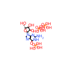 Nc1nc2c(ncn2[C@@H]2O[C@H](CO)[C@@H](O)C2=O)c(=O)[nH]1.O=P(O)(O)O.O=P(O)(O)O.O=P(O)(O)O